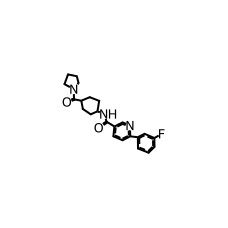 O=C(NC1CCC(C(=O)N2CCCC2)CC1)c1ccc(-c2cccc(F)c2)nc1